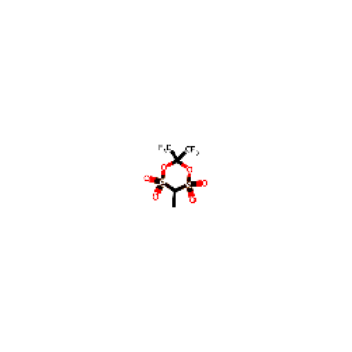 CC1S(=O)(=O)OC(C(F)(F)F)(C(F)(F)F)OS1(=O)=O